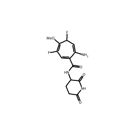 COC1=C(F)C=C(C(=O)NC2CCC(=O)NC2=O)C(N)=CC1F